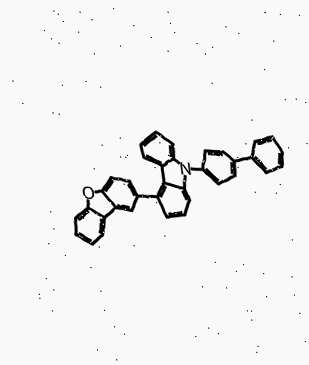 c1ccc(-c2ccc(-n3c4ccccc4c4c(-c5ccc6oc7ccccc7c6c5)cccc43)cc2)cc1